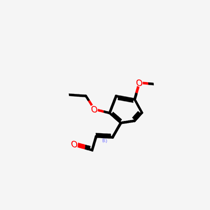 CCOc1cc(OC)ccc1/C=C/C=O